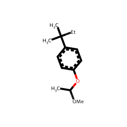 CCC(C)(C)c1ccc(OC(C)OC)cc1